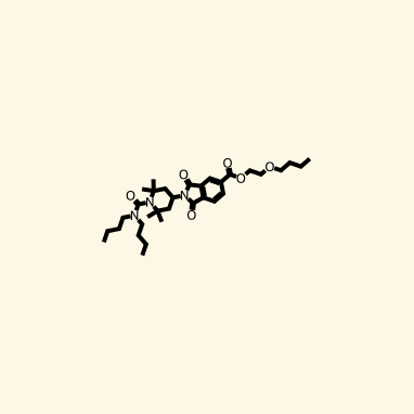 CCCCOCCOC(=O)c1ccc2c(c1)C(=O)N(C1CC(C)(C)N(C(=O)N(CCCC)CCCC)C(C)(C)C1)C2=O